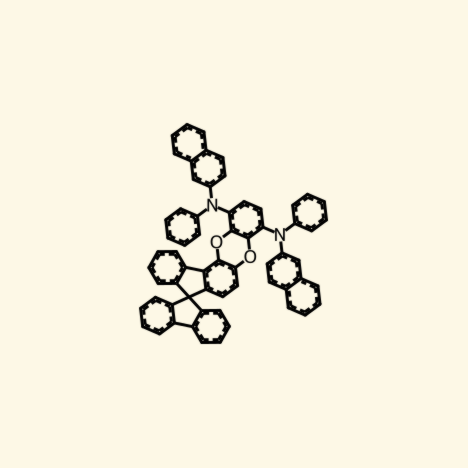 c1ccc(N(c2ccc3ccccc3c2)c2ccc(N(c3ccccc3)c3ccc4ccccc4c3)c3c2Oc2ccc4c(c2O3)-c2ccccc2C42c3ccccc3-c3ccccc32)cc1